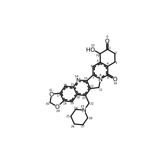 O=C1CCc2c(cc3n(c2=O)Cc2c-3nc3cc4c(cc3c2CN2CCCCC2)OCO4)C1O